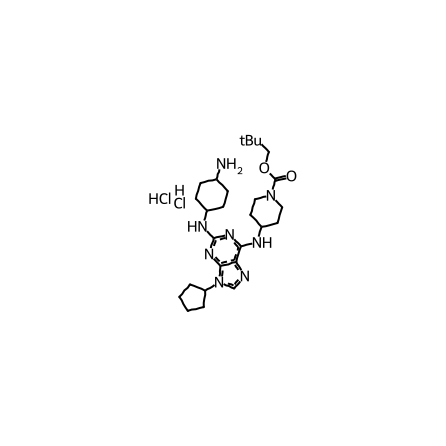 CC(C)(C)COC(=O)N1CCC(Nc2nc(NC3CCC(N)CC3)nc3c2ncn3C2CCCC2)CC1.Cl.Cl